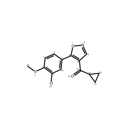 CSc1ccc(-c2oncc2C(=O)C2CC2)cc1Cl